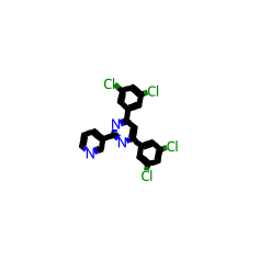 Clc1cc(Cl)cc(-c2cc(-c3cc(Cl)cc(Cl)c3)nc(-c3cccnc3)n2)c1